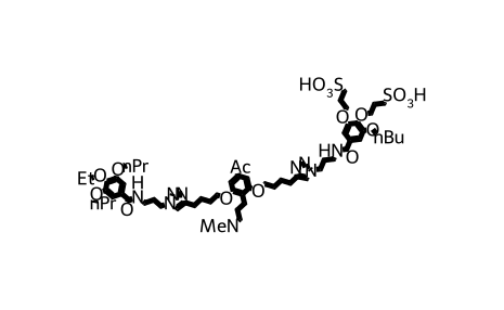 CCCCOc1cc(C(=O)NCCCn2cc(CCCCOc3cc(C(C)=O)cc(OCCCCc4cn(CCCNC(=O)c5cc(OCCC)c(OCC)c(OCCC)c5)nn4)c3CCCNC)nn2)cc(OCCCS(=O)(=O)O)c1OCCCS(=O)(=O)O